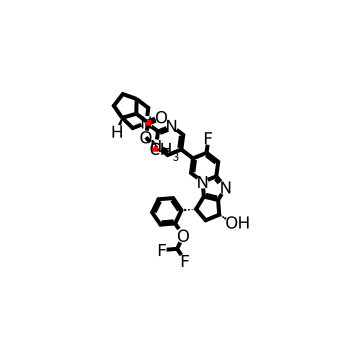 COC(=O)C1C2CC[C@H]1CN(c1ncc(-c3cn4c5c(nc4cc3F)[C@H](O)C[C@@H]5c3ccccc3OC(F)F)cn1)C2